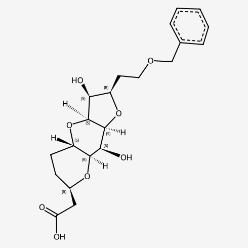 O=C(O)C[C@H]1CC[C@@H]2O[C@H]3[C@@H](O)[C@@H](CCOCc4ccccc4)O[C@H]3[C@@H](O)[C@H]2O1